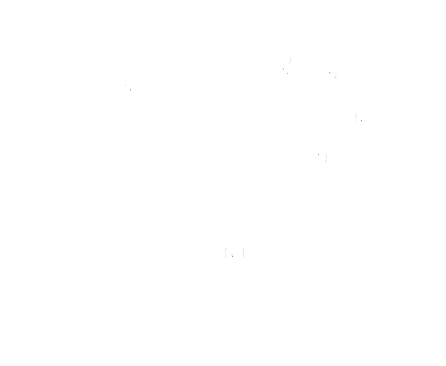 Cc1cccc(Oc2ccc3c(c2)CNc2ncnc4c2c-3c(-c2ccc(NC(=O)C3=COCC3)cc2)n4C)n1